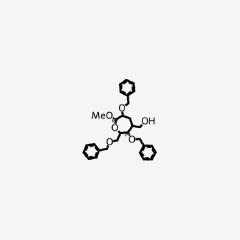 CO[C@@H]1OC(COCc2ccccc2)[C@H](OCc2ccccc2)C(CO)CC1OCc1ccccc1